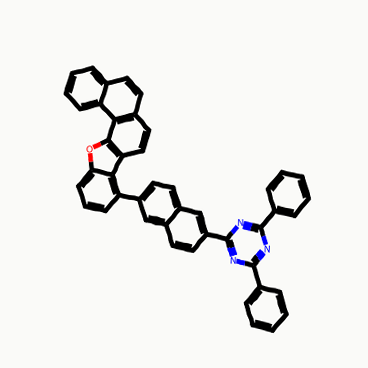 c1ccc(-c2nc(-c3ccccc3)nc(-c3ccc4cc(-c5cccc6oc7c(ccc8ccc9ccccc9c87)c56)ccc4c3)n2)cc1